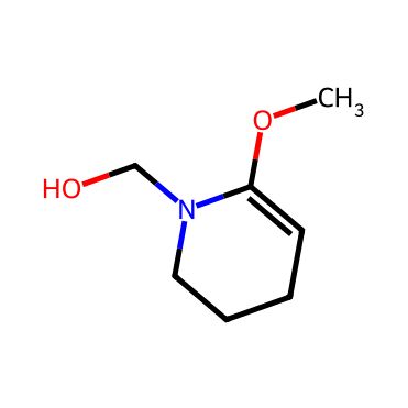 COC1=CCCCN1CO